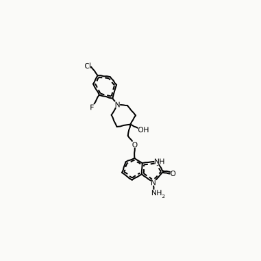 Nn1c(=O)[nH]c2c(OCC3(O)CCN(c4ccc(Cl)cc4F)CC3)cccc21